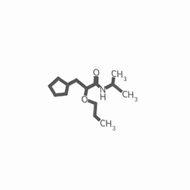 CCCOC(CC1CCCC1)C(=O)NC(C)C